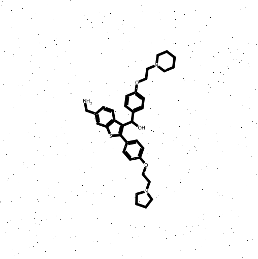 NCc1ccc2c(C(O)c3ccc(OCCN4CCCCC4)cc3)c(-c3ccc(OCCN4CCCC4)cc3)sc2c1